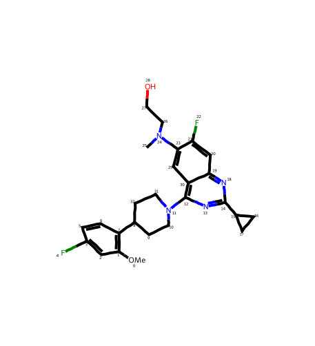 COc1cc(F)ccc1C1CCN(c2nc(C3CC3)nc3cc(F)c(N(C)CCO)cc23)CC1